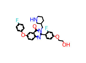 O=c1c2cc(Oc3ccc(F)cc3)ccc2nc(-c2ccc(OCCO)cc2F)n1CC1CCCNC1